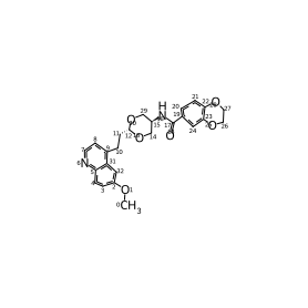 COc1ccc2nccc(CC[C@H]3OC[C@H](NC(=O)c4ccc5c(c4)OCCO5)CO3)c2c1